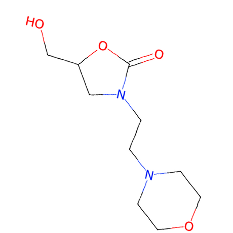 O=C1OC(CO)CN1CCN1CCOCC1